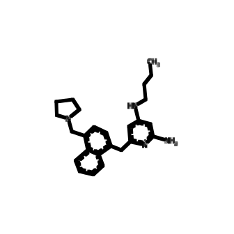 CCCCNc1cc(N)nc(Cc2ccc(CN3CCCC3)c3ccccc23)c1